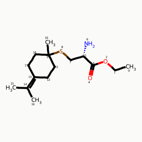 CCOC(=O)[C@@H](N)CSC1(C)CCC(=C(C)C)CC1